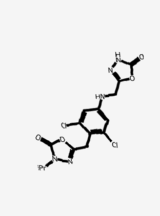 CC(C)n1nc(Cc2c(Cl)cc(NCc3n[nH]c(=O)o3)cc2Cl)oc1=O